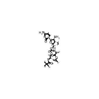 CC[C@H]1[C@@H](N)[C@H](n2ccc(N)nc2=O)O[C@@H]1COP(=O)(N[C@@H](C)C(=O)OC(C)C)OCCSC(=O)C(C)(C)C